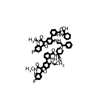 C#CC1(NC(=O)c2cccc(-c3cc4c(C(=O)NC)c(-c5ccc(F)cc5)oc4cc3NCCC(c3ccccc3)N3CCC(C#N)(NC(=O)c4cccc(-c5cc6c(C(=O)NC)c(-c7ccc(F)cc7)oc6cc5NCC)c4)CC3)c2)CCCCC1